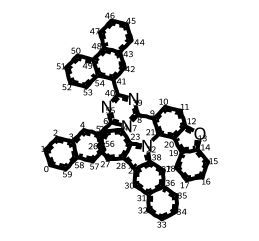 c1ccc2cc(-c3nc(-c4ccc5oc6ccccc6c5c4-n4c5ccccc5c5cc6ccccc6cc54)nc(-c4cc5ccccc5c5ccccc45)n3)ccc2c1